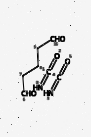 N=C=O.N=C=O.O=CCCCC=O